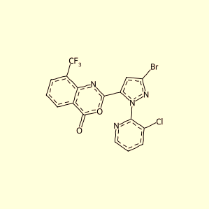 O=c1oc(-c2cc(Br)nn2-c2ncccc2Cl)nc2c(C(F)(F)F)cccc12